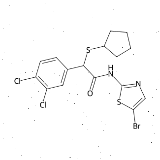 O=C(Nc1ncc(Br)s1)C(SC1CCCC1)c1ccc(Cl)c(Cl)c1